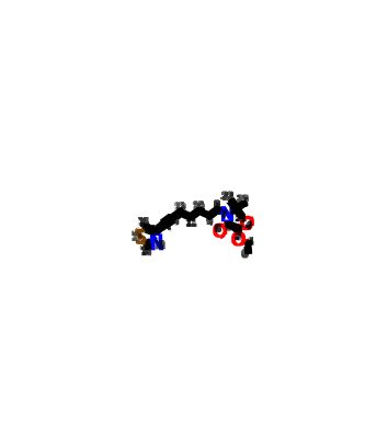 CCOC(=O)C(=O)N(CCCCCC#Cc1cscn1)C(C)(C)C